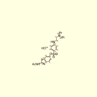 CC(=O)Nc1nc2ccc(OS(=O)(=O)c3ccc(NCCN(C(C)C)C(C)C)cc3)cc2s1.Cl